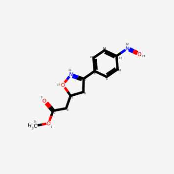 COC(=O)CC1CC(c2ccc(N=O)cc2)=NO1